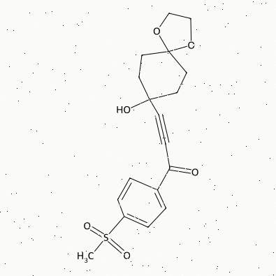 CS(=O)(=O)c1ccc(C(=O)C#CC2(O)CCC3(CC2)OCCO3)cc1